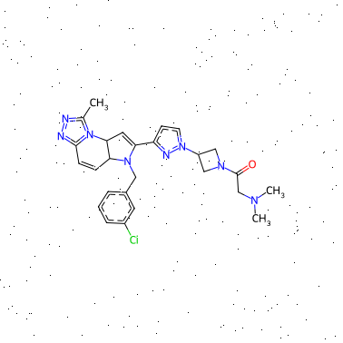 Cc1nnc2n1C1C=C(c3ccn(C4CN(C(=O)CN(C)C)C4)n3)N(Cc3cccc(Cl)c3)C1C=C2